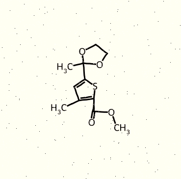 COC(=O)c1sc(C2(C)OCCO2)cc1C